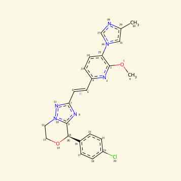 COc1nc(/C=C/c2nc3n(n2)CCO[C@@H]3c2ccc(Cl)cc2)ccc1-n1cnc(C)c1